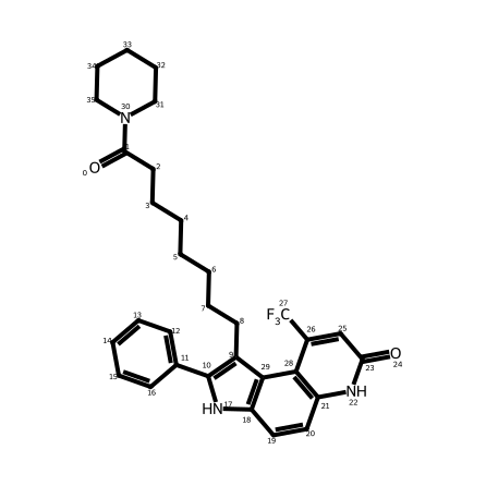 O=C(CCCCCCCc1c(-c2ccccc2)[nH]c2ccc3[nH]c(=O)cc(C(F)(F)F)c3c12)N1CCCCC1